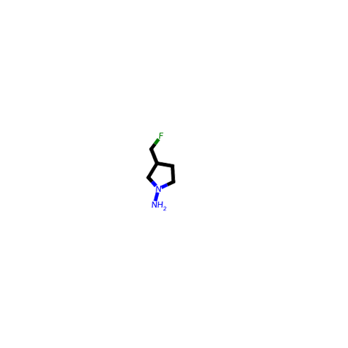 NN1CCC(CF)C1